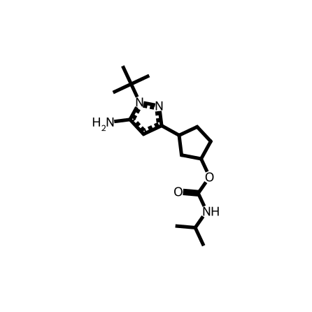 CC(C)NC(=O)OC1CCC(c2cc(N)n(C(C)(C)C)n2)C1